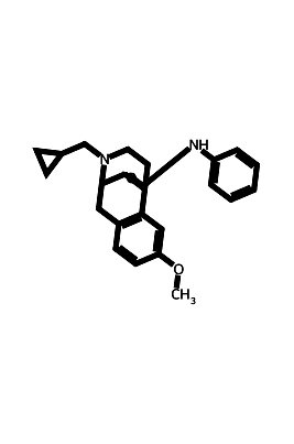 COc1ccc2c(c1)C13CCN(CC4CC4)C(C2)C1OCC(Nc1ccccc1)C3